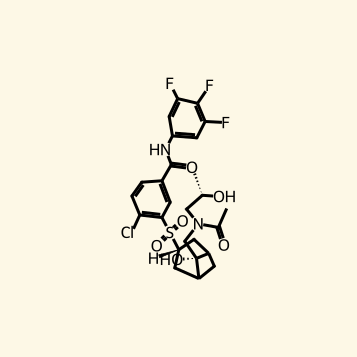 CC(=O)N(C[C@H](C)O)C[C@]1(O)C2CC1C[C@@H](S(=O)(=O)c1cc(C(=O)Nc3cc(F)c(F)c(F)c3)ccc1Cl)C2